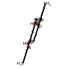 CCCCCCCCCCCCCCCC(=O)OCC(O)COC(=O)CCCCCCCCCCCCCCC.CCCCCCCCCCCCCCCC(=O)OCC(O)COC(=O)CCCCCCCCCCCCCCC.O=C(O)/C=C/C(=O)O